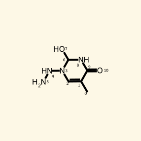 CC1=CN(NN)C(O)NC1=O